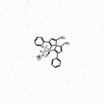 CCCCC1=CC(c2ccccc2)=[C]([Zr]([CH3])([CH3])(=[SiH2])[C]2=C(c3ccccc3)C=C(CCCC)C2)C1.Cl.Cl